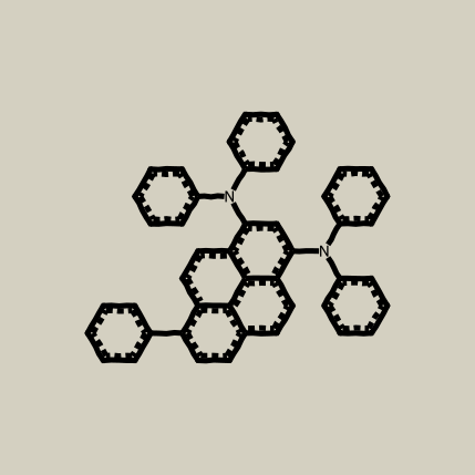 c1ccc(-c2ccc3ccc4c(N(c5ccccc5)c5ccccc5)cc(N(c5ccccc5)c5ccccc5)c5ccc2c3c45)cc1